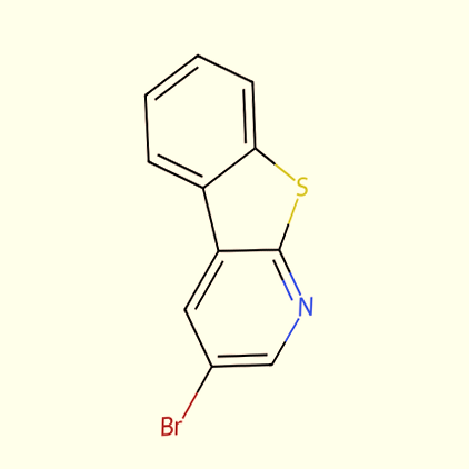 Brc1cnc2sc3ccccc3c2c1